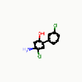 Nc1cc(O)c(-c2cccc(Cl)c2)cc1Cl